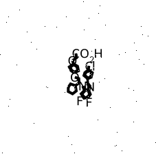 O=C(O)COc1ccc(OCC(C2CCCCC2)n2c(-c3ccc(Cl)cc3)nc3cc(F)c(F)cc32)cc1